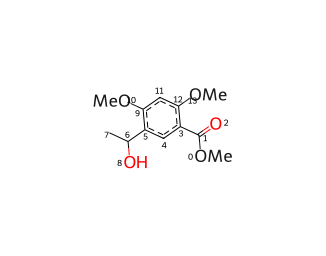 COC(=O)c1cc(C(C)O)c(OC)cc1OC